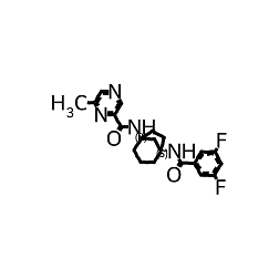 Cc1cncc(C(=O)N[C@]23CCC[C@](NC(=O)c4cc(F)cc(F)c4)(CC2)C3)n1